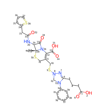 O=C(O)CCCC1=NN(SCC2=C(C(=O)O)N3C(=O)C(NC(=O)Cc4cccs4)[C@H]3SC2)CN1c1ccccc1